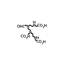 O=CCN(CCNCC(=O)O)CCN(CCNCC(=O)O)CC(=O)O